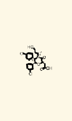 C[C@@H](CCO)N1C(=O)[C@@H](CC(=O)O)O[C@H](c2cccc(Cl)c2)[C@H]1c1ccc(Cl)cc1